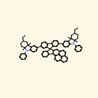 CCC1CCC2(C)N(c3ccccc3)c3ccc(-c4ccc5c(c4)C4(c6cc(-c7ccc8c(c7)C7(C)CC(CC)CCC7(C)N8c7ccccc7)ccc6-5)c5ccccc5-c5c4cc4ccc6cccc7ccc5c4c67)cc3C2(C)C1